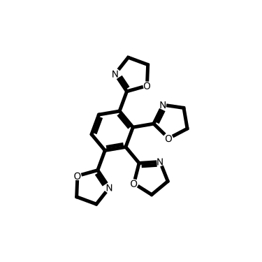 c1cc(C2=NCCO2)c(C2=NCCO2)c(C2=NCCO2)c1C1=NCCO1